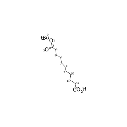 CC(C)(C)OC(=O)CCCCCCCCCC(=O)O